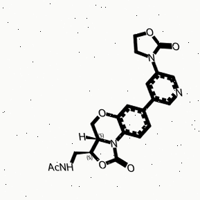 CC(=O)NC[C@@H]1OC(=O)N2c3ccc(-c4cncc(N5CCOC5=O)c4)cc3OC[C@@H]12